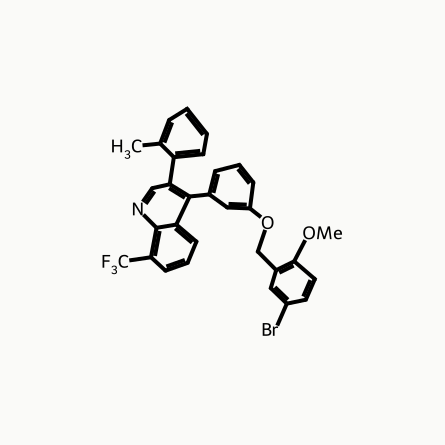 COc1ccc(Br)cc1COc1cccc(-c2c(-c3ccccc3C)cnc3c(C(F)(F)F)cccc23)c1